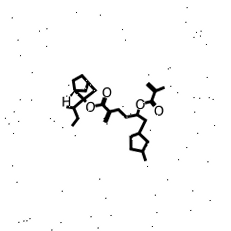 C=C(C)C(=O)OC(CCC(=C)C(=O)OC1(C(C)CC)CC2CC[C@@H]1C2)CC1CCC(C)C1